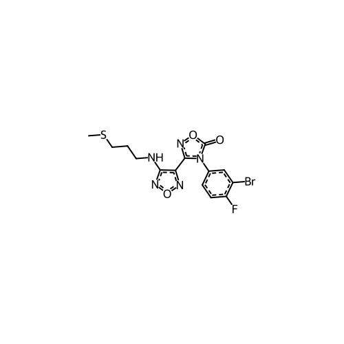 CSCCCNc1nonc1-c1noc(=O)n1-c1ccc(F)c(Br)c1